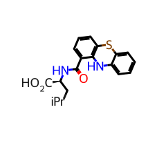 CC(C)C[C@H](NC(=O)c1cccc2c1Nc1ccccc1S2)C(=O)O